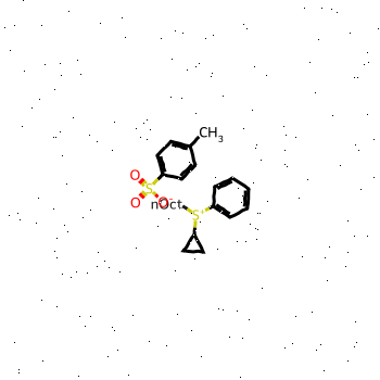 CCCCCCCC[S+](c1ccccc1)C1CC1.Cc1ccc(S(=O)(=O)[O-])cc1